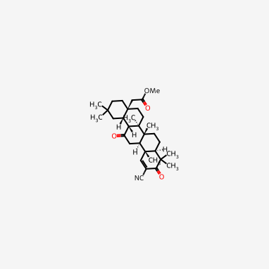 COC(=O)C[C@]12CCC(C)(C)C[C@H]1[C@H]1C(=O)C[C@@H]3[C@@]4(C)C=C(C#N)C(=O)C(C)(C)[C@@H]4CC[C@@]3(C)[C@]1(C)CC2